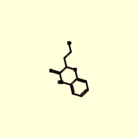 O=C1Nc2ccccc2OC1CCBr